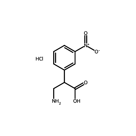 Cl.NCC(C(=O)O)c1cccc([N+](=O)[O-])c1